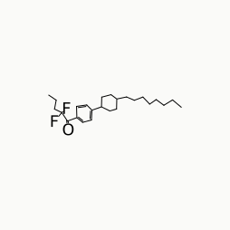 CCCCCCCCC1CCC(c2ccc(C(=O)C(F)(F)CCC)cc2)CC1